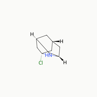 Cl[C@]12C[C@@H]3C[C@@H](C[C@H](C3)N1)C2